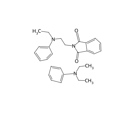 CCN(CC)c1ccccc1.CCN(CCN1C(=O)c2ccccc2C1=O)c1ccccc1